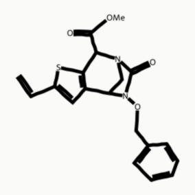 C=Cc1cc2c(s1)C(C(=O)OC)N1CC2N(OCc2ccccc2)C1=O